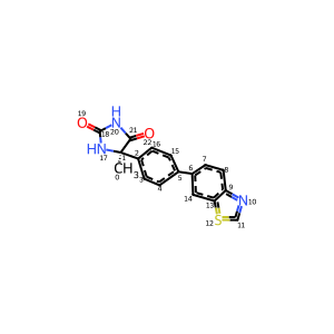 C[C@]1(c2ccc(-c3ccc4ncsc4c3)cc2)NC(=O)NC1=O